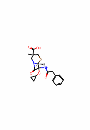 CC1(C(=O)O)CS[C@H]2N(C1)C(=O)C2(NC(=O)Cc1ccccc1)OC1CC1